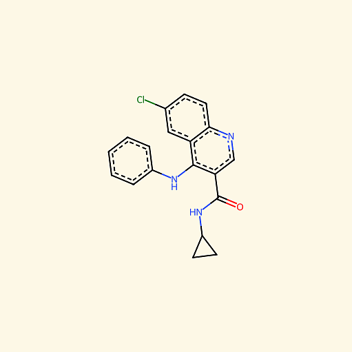 O=C(NC1CC1)c1cnc2ccc(Cl)cc2c1Nc1ccccc1